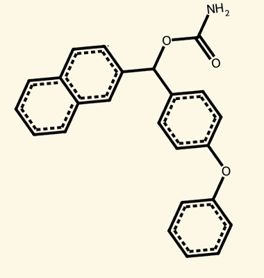 NC(=O)OC(c1[c]cc2ccccc2c1)c1ccc(Oc2ccccc2)cc1